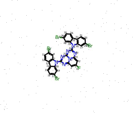 FC1=CC2=NC(n3c4cc(Br)ccc4c4ccc(Br)cc43)=NC3=NC(n4c5cc(Br)ccc5c5ccc(Br)cc54)=NC(=C1)N23